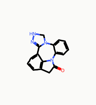 O=C1Cc2cccc3c2N1c1ccccc1N1CNN=C31